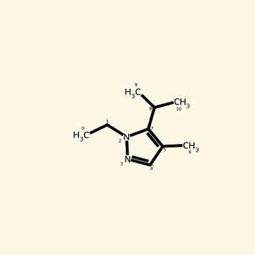 CCn1n[c]c(C)c1C(C)C